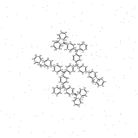 c1ccc(N(c2ccc(N(c3ccc(-c4ccc5c(c4)oc4ccccc45)cc3)c3ccc(N(c4ccc(-c5ccc6c(c5)oc5ccccc56)cc4)c4ccc(N(c5ccccc5)c5ccc(-n6c7ccccc7c7ccccc76)cc5)cc4)cc3)cc2)c2ccc(-n3c4ccccc4c4ccccc43)cc2)cc1